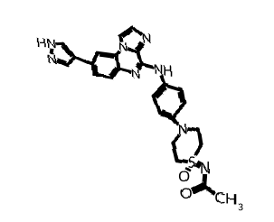 CC(=O)N=S1(=O)CCN(c2ccc(Nc3nc4ccc(-c5cn[nH]c5)cc4n4ccnc34)cc2)CC1